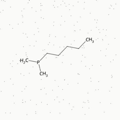 [CH2]P(C)CCCCC